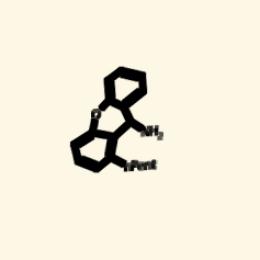 CCCCCc1cccc2c1C(N)c1ccccc1O2